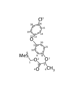 CSCOC(=O)C(C)Oc1ccc(Oc2ccc(Cl)cc2)cc1